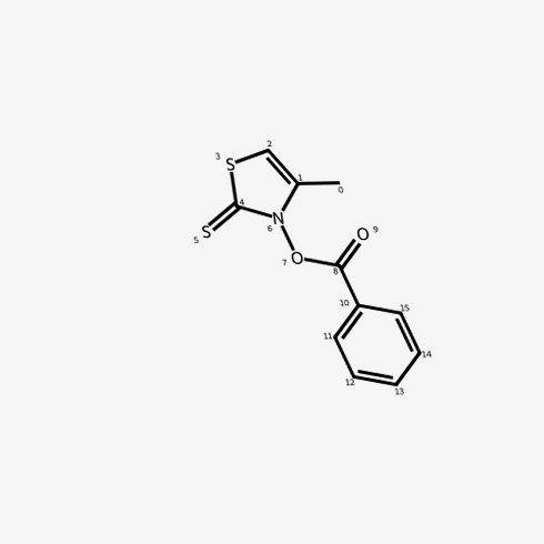 Cc1csc(=S)n1OC(=O)c1ccccc1